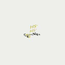 [Cu+2].[Na+].[SH-].[SH-].[SH-]